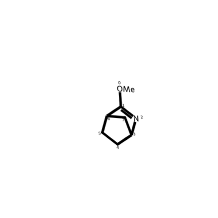 COC1=NC2CCC1C2